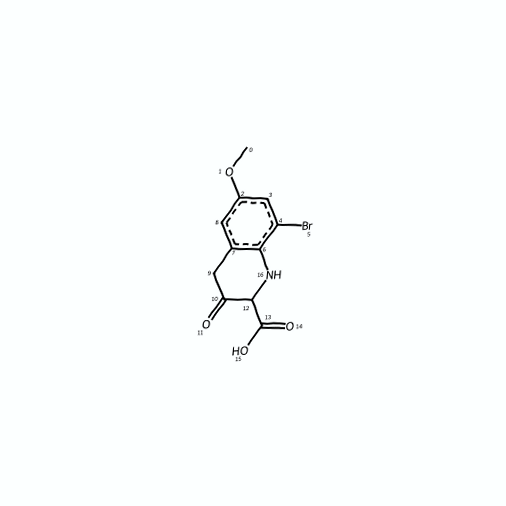 COc1cc(Br)c2c(c1)CC(=O)C(C(=O)O)N2